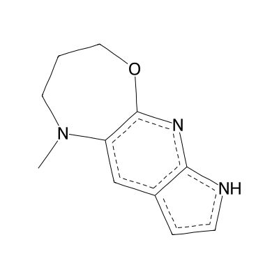 CN1CCCOc2nc3[nH]ccc3cc21